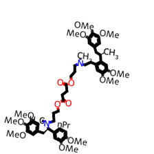 CCCc1cc(OC)c(OC)cc1[C@@H](Cc1cc(OC)c(OC)c(OC)c1)N(C)CCCOC(=O)CCC(=O)OCCCN(C)CCc1cc(OC)c(OC)cc1[C@@H](C)Cc1cc(OC)c(OC)c(OC)c1